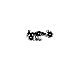 COc1ccc2ncc(Cl)c(CCCC3(CO)CCN(CCCSc4ccccc4C)CC3)c2c1